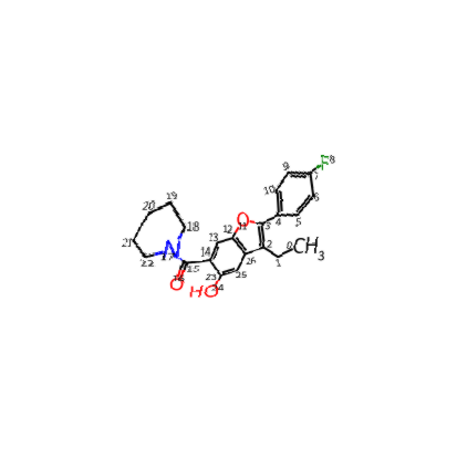 CCc1c(-c2ccc(F)cc2)oc2cc(C(=O)N3CCCCC3)c(O)cc12